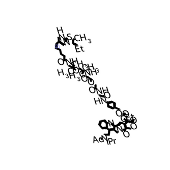 CCC=CC(C)SC1=NC=C(/C=C\CCCC(=O)NCC(C)(C)OCC(C)(C)NC(=O)COCC(=O)NCC(=O)Nc2ccc(COC(=O)O[C@]3(CC)C(=O)OCc4c3cc3n(c4=O)Cc4c-3nc3ccccc3c4CCN(C(C)=O)C(C)C)cc2)CN1